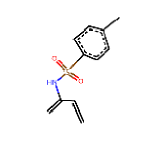 C=CC(=C)NS(=O)(=O)c1ccc(C)cc1